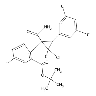 CC(C)(C)OC(=O)c1cc(F)[c]cc1C1(C(N)=O)C(c2cc(Cl)cc(Cl)c2)C1(Cl)Cl